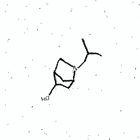 CC(C)N1CC2CC1CC2O